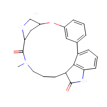 CN1CCCC2C(=O)Nc3cccc(c32)-c2cccc(c2)O[C@@H]2CN[C@@H](C2)C1=O